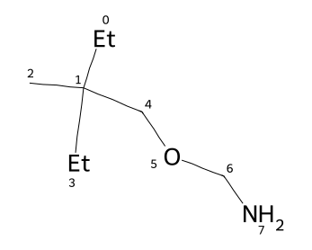 CCC(C)(CC)COCN